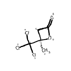 C[C@]1(C(Cl)(Cl)Cl)CC(=O)O1